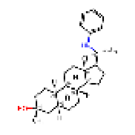 C[C@@]1(O)CC[C@H]2[C@H](CC[C@@H]3[C@@H]2CC[C@]2(C)C([C@H](Nc4ccccc4)C(F)(F)F)CC[C@@H]32)C1